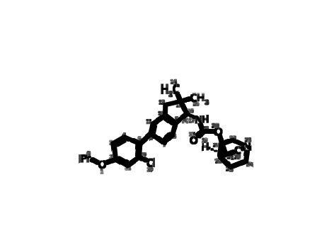 CC(C)Oc1ccc(-c2ccc3c(c2)CC(C)(C)[C@H]3NC(=O)O[C@H]2CN3CCC2CC3)c(Cl)c1